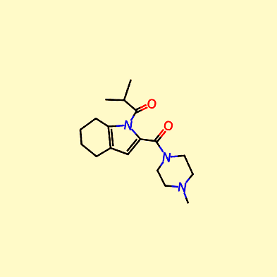 CC(C)C(=O)n1c(C(=O)N2CCN(C)CC2)cc2c1CCCC2